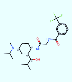 CC(C)[C@H](O)[C@@H]1C[C@H](N(C)C(C)C)CC[C@@H]1NC(=O)CNC(=O)c1cccc(C(F)(F)F)c1